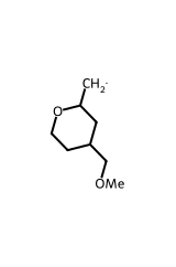 [CH2]C1CC(COC)CCO1